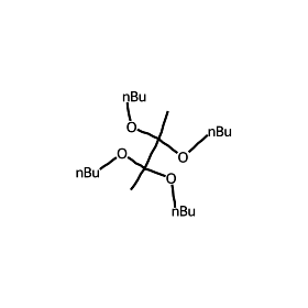 CCCCOC(C)(OCCCC)C(C)(OCCCC)OCCCC